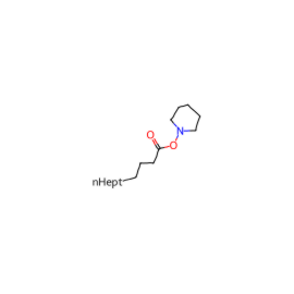 CCCCCCCCCCC(=O)ON1CCCCC1